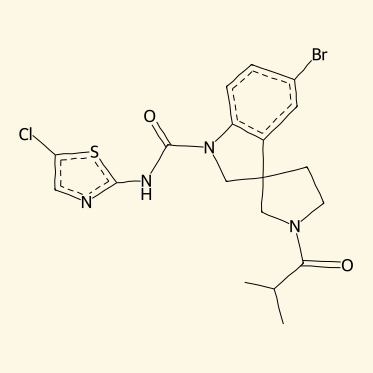 CC(C)C(=O)N1CCC2(C1)CN(C(=O)Nc1ncc(Cl)s1)c1ccc(Br)cc12